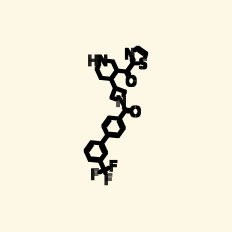 O=C(c1nccs1)C1CNCCC1C1CN(C(=O)c2ccc(-c3cccc(C(F)(F)F)c3)cc2)C1